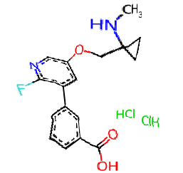 CNC1(COc2cnc(F)c(-c3cccc(C(=O)O)c3)c2)CC1.Cl.Cl